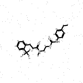 CCc1ccc(NC(=O)OCCN(C)C(=O)CCc2ccccc2C(F)(F)F)cc1